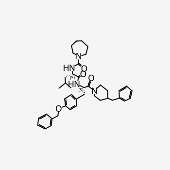 CC(C)C[C@H](NC(=O)N1CCCCCC1)C(=O)N[C@@H](Cc1ccc(OCc2ccccc2)cc1)C(=O)N1CCC(Cc2ccccc2)CC1